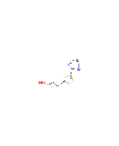 O/C=C/Cc1ccc(-c2ncccn2)s1